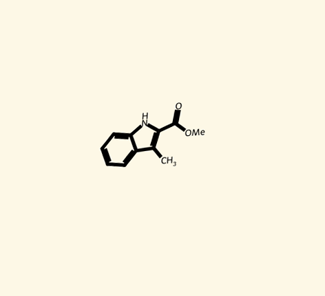 COC(=O)c1[nH]c2ccccc2c1C